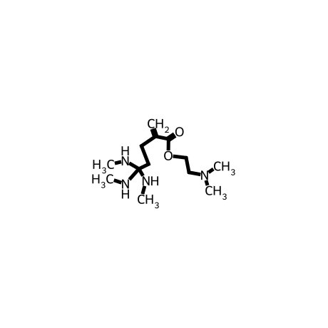 C=C(CCC(NC)(NC)NC)C(=O)OCCN(C)C